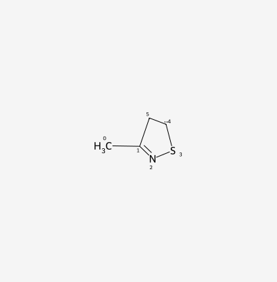 CC1=NS[C]C1